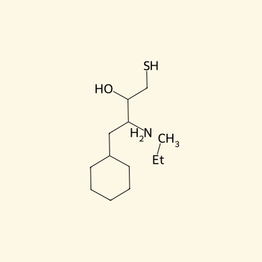 CCC.NC(CC1CCCCC1)C(O)CS